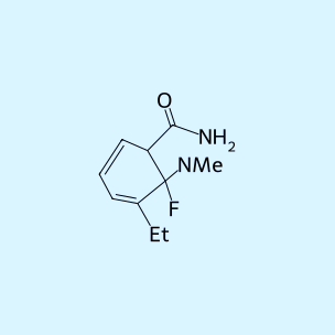 CCC1=CC=CC(C(N)=O)C1(F)NC